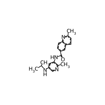 Cc1ccc2cc(C(=O)Nc3cc(NC(C)C)cnc3C)ccc2n1